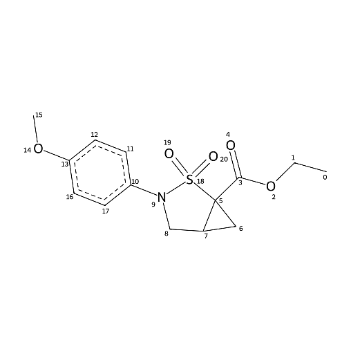 CCOC(=O)C12CC1CN(c1ccc(OC)cc1)S2(=O)=O